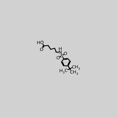 CC(C)(C)c1ccc(S(=O)(=O)N[CH]CCCC(=O)O)cc1